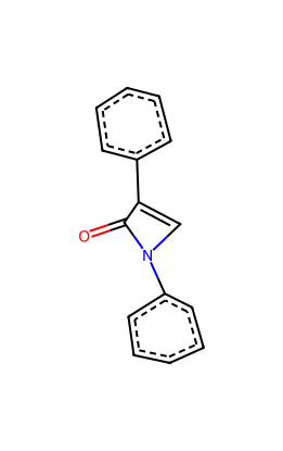 O=C1C(c2ccccc2)=CN1c1ccccc1